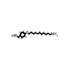 NCCCCCCCCCCCOc1ccc(CO)cc1